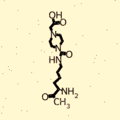 CC(=O)[C@@H](N)CCCCNC(=O)N1CCN(CC(=O)O)CC1